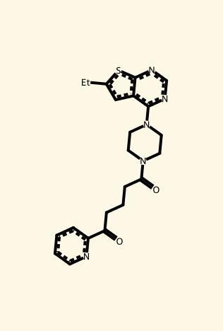 CCc1cc2c(N3CCN(C(=O)CCCC(=O)c4ccccn4)CC3)ncnc2s1